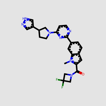 Cn1c(C(=O)N2CC(F)(F)C2)cc2ccc(-c3nccc(N4CCC(c5cn[nH]c5)C4)n3)cc21